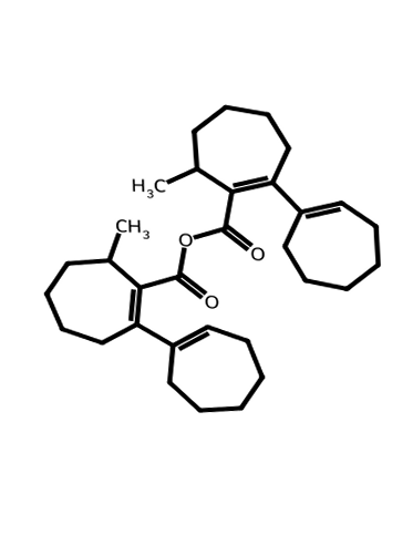 CC1CCCCC(C2=CCCCCC2)=C1C(=O)OC(=O)C1=C(C2=CCCCCC2)CCCCC1C